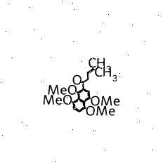 COc1ccc(OC)c2c(OC)c(C(=O)CC=C(C)C)cc(OC)c12